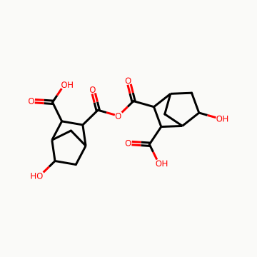 O=C(OC(=O)C1C2CC(O)C(C2)C1C(=O)O)C1C2CC(O)C(C2)C1C(=O)O